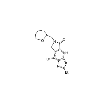 CCc1cc2[nH]c3c(c(=O)n2n1)CN(CC1CCCCO1)C3=O